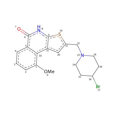 COc1cccc2c(=O)[nH]c3sc(CN4CCC(Br)CC4)cc3c12